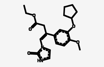 CCOC(=O)CC(=Cn1cc[nH]c1=O)c1ccc(OC)c(OC2CCCC2)c1